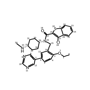 CCOc1ccc(-c2cncnc2)cc1CN(C(=O)c1sc2ccccc2c1Cl)[C@H]1CC[C@@H](NC)CC1